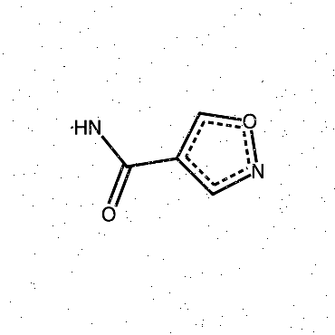 [NH]C(=O)c1cnoc1